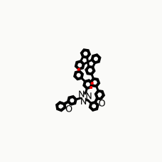 c1ccc(-c2cccc(-c3nc(-c4ccc5c(c4)oc4ccccc45)nc(-c4cccc5oc6ccc(-c7ccc(-c8ccc9c(c8)-c8ccccc8C98c9ccccc9-c9ccccc98)cc7)cc6c45)n3)c2)cc1